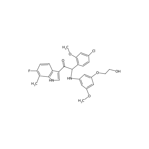 COc1cc(NC(C(=O)c2c[nH]c3c(C)c(F)ccc23)c2ccc(Cl)cc2OC)cc(OCCO)c1